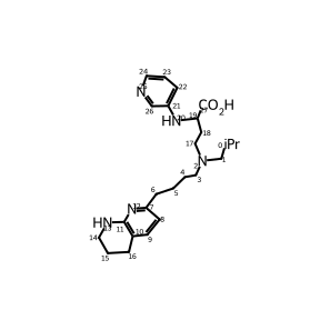 CC(C)CN(CCCCc1ccc2c(n1)NCCC2)CCC(Nc1cccnc1)C(=O)O